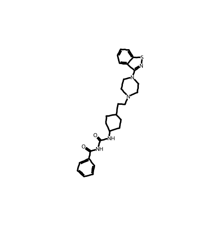 O=C(NC(=O)c1ccccc1)NC1CCC(CCN2CCN(c3nsc4ccccc34)CC2)CC1